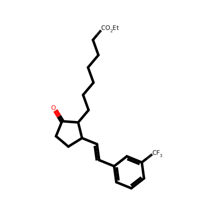 CCOC(=O)CCCCCCC1C(=O)CCC1C=Cc1cccc(C(F)(F)F)c1